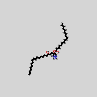 CCCCCCCC/C=C\CCCCCCCC(=O)CCC(C)(C[N+](C)(C)C)OC(=O)CCCCCCC/C=C\CCCCCCCC